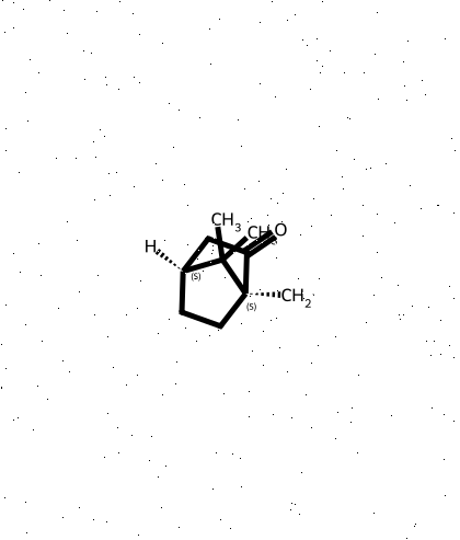 [CH2][C@@]12CC[C@@H](CC1=O)C2(C)C